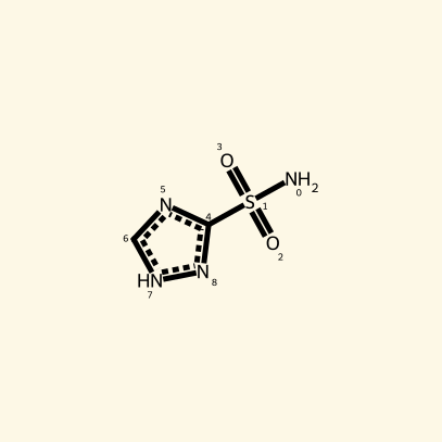 NS(=O)(=O)c1nc[nH]n1